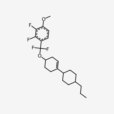 CCCC1CCC(C2=CCC(OC(F)(F)c3ccc(OC)c(F)c3F)CC2)CC1